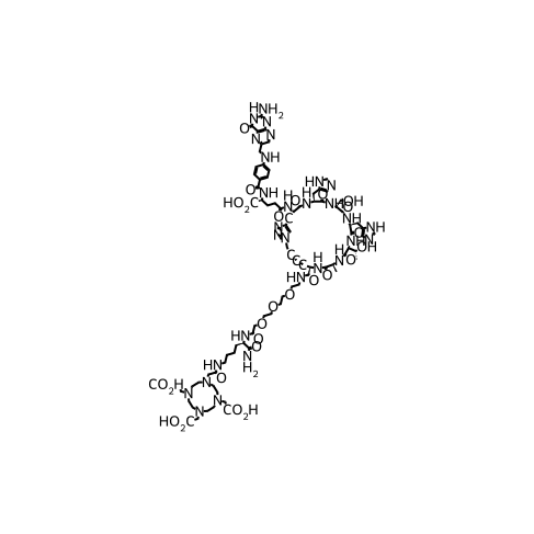 C[C@@H]1NC(=O)[C@H]([C@@H](C)O)NC(=O)[C@H](Cc2cnc[nH]2)NC(=O)[C@H](CO)NC(=O)[C@H](Cc2cnc[nH]2)NC(=O)[C@H](NC(=O)CC[C@H](NC(=O)c2ccc(NCc3cnc4nc(N)[nH]c(=O)c4n3)cc2)C(=O)O)Cc2cn(nn2)CCCC[C@H](C(=O)NCCOCCOCCOCC(=O)N[C@H](CCCCNC(=O)CN2CCN(CC(=O)O)CCN(CC(=O)O)CCN(CC(=O)O)CC2)C(N)=O)NC1=O